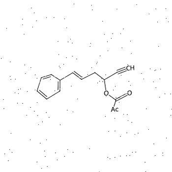 C#CC(CC=Cc1ccccc1)OC(=O)C(C)=O